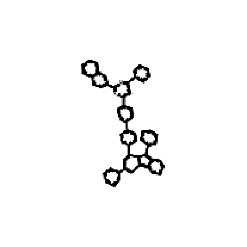 C1=C(c2ccccc2)C=C(c2ccc(-c3ccc(-c4cc(-c5ccccc5)nc(-c5ccc6ccccc6c5)n4)cc3)cc2)C2C1=c1ccccc1=C2c1ccccc1